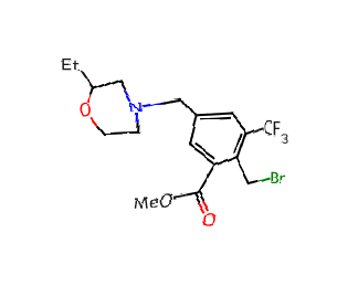 CCC1CN(Cc2cc(C(=O)OC)c(CBr)c(C(F)(F)F)c2)CCO1